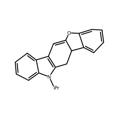 CC(C)n1c2c(c3ccccc31)C=C1Oc3ccccc3C1C2